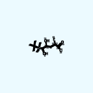 CC(C)(C)[Si](C)(C)C(O)[C@@H](O)C[C@@H](F)C(=O)Cl